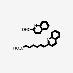 O=C(O)CCCCC=Cc1ccc2ccccc2n1.O=Cc1ccc2ccccc2n1